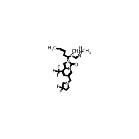 CC/C=C\CC(N(C)/C=N\NC)n1cc2c(C(F)(F)F)cc(CN3CCC(F)(F)C3)cn2c1=O